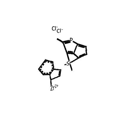 CC1=PC2=CC=C3C2=C1[Si]3(C)C.[Cl-].[Cl-].[Zr+2][CH]1C=Cc2ccccc21